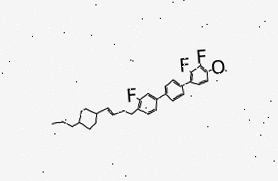 CCCC1CCC(/C=C/CCc2ccc(-c3ccc(-c4ccc(OC)c(F)c4F)cc3)cc2F)CC1